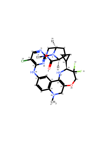 CCN1C[C@H]2CC[C@@H](C1=O)N2c1ncc(Cl)c(Nc2ccc3c(c2)C2=C(CN3C)OCC(F)(F)[C@H](C3CC3)N2)n1